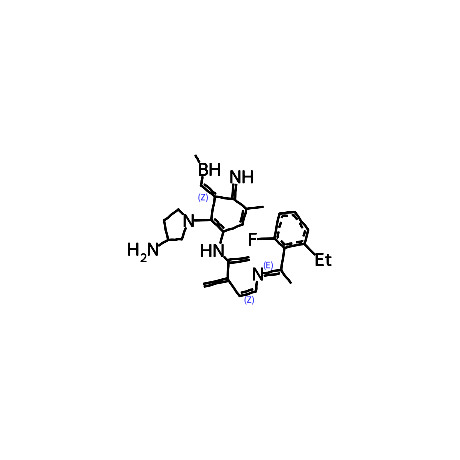 C=C(/C=C\N=C(/C)c1c(F)cccc1CC)C(=C)NC1=C(N2CCC(N)C2)/C(=C/BC)C(=N)C(C)=C1